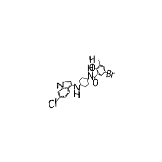 Cc1cc(Br)cc(C(=O)NC2CCC(Nc3ccnc4cc(Cl)ccc34)CC2)c1O